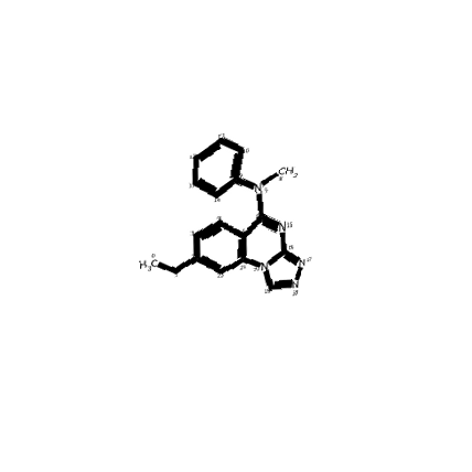 CCc1ccc2c(N(C)c3ccccc3)nc3nncn3c2c1